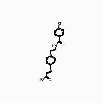 O=C(O)C=Cc1ccc(CCNC(=O)c2ccc(Cl)cc2)cc1